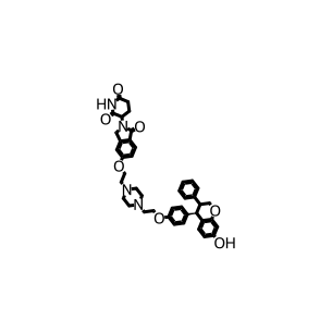 O=C1CCC(N2Cc3cc(OCCN4CCN(CCOc5ccc([C@@H]6c7ccc(O)cc7OCC6c6ccccc6)cc5)CC4)ccc3C2=O)C(=O)N1